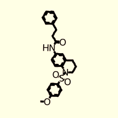 COc1ccc(S(=O)(=O)N2CCCc3cc(NC(=O)CCc4ccccc4)ccc32)cc1